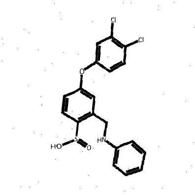 O=S(O)c1ccc(Oc2ccc(Cl)c(Cl)c2)cc1CNc1ccccc1